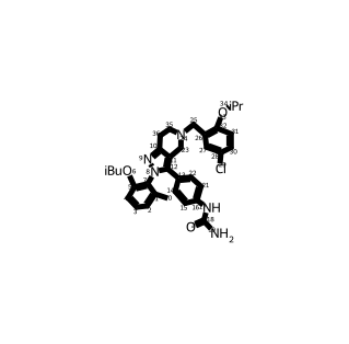 Cc1cccc(OCC(C)C)c1-n1nc2c(c1-c1ccc(NC(N)=O)cc1)CN(Cc1cc(Cl)ccc1OC(C)C)CC2